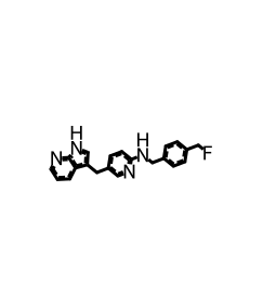 FCc1ccc(CNc2ccc(Cc3c[nH]c4ncccc34)cn2)cc1